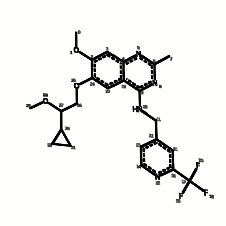 COc1cc2nc(C)nc(NCc3ccnc(C(F)(F)F)c3)c2cc1OCC(OC)C1CC1